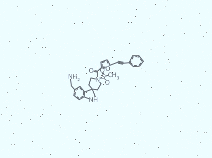 CS(=O)(=O)[N+]1(C(=O)c2ccc(C#Cc3ccccc3)o2)CCC2(CC1)CNc1ccc(CN)cc12